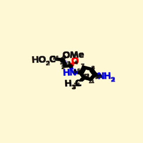 CO/C(=C\C(=O)NC1=CC=C(N)CC1C)C(=O)O